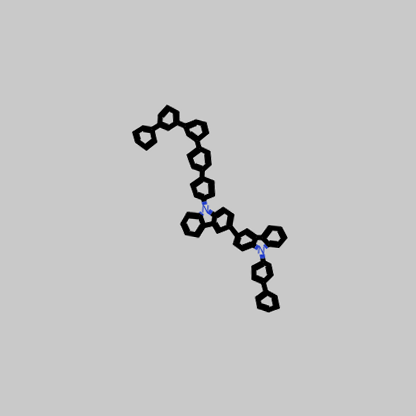 c1ccc(-c2ccc(-n3c4ccccc4c4cc(-c5ccc6c(c5)c5ccccc5n6-c5ccc(-c6ccc(-c7cccc(-c8cccc(-c9ccccc9)c8)c7)cc6)cc5)ccc43)cc2)cc1